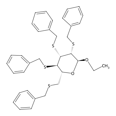 CCO[C@H]1O[C@H](CSCc2ccccc2)[C@@H](SCc2ccccc2)[C@H](SCc2ccccc2)[C@@H]1SCc1ccccc1